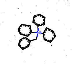 c1ccc(C[N+](c2ccccc2)(c2ccccc2)c2ccccc2)cc1